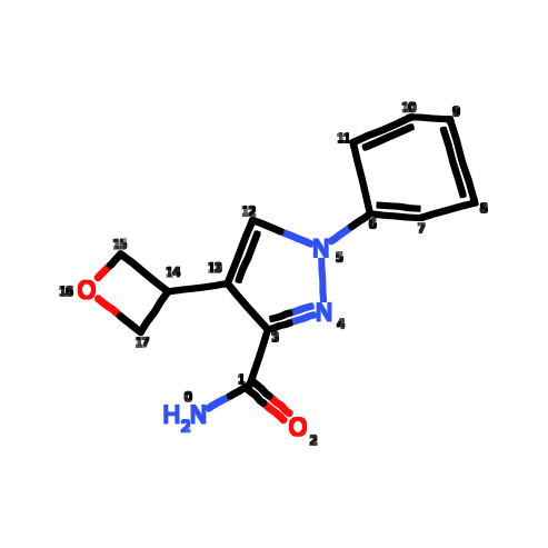 NC(=O)c1nn(-c2ccccc2)cc1C1COC1